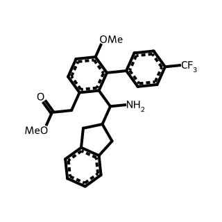 COC(=O)Cc1ccc(OC)c(-c2ccc(C(F)(F)F)cc2)c1C(N)C1Cc2ccccc2C1